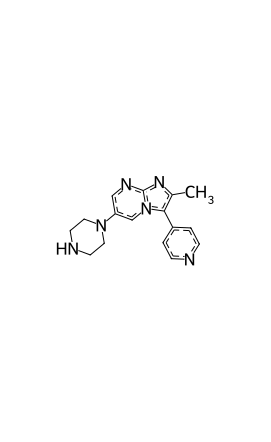 Cc1nc2ncc(N3CCNCC3)cn2c1-c1ccncc1